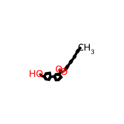 CC#CC#CC#CC#COC(=O)c1cccc(-c2ccc(CO)cc2)c1